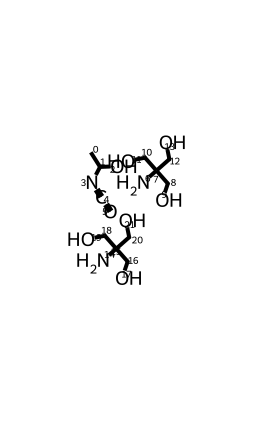 CC(O)N=C=O.NC(CO)(CO)CO.NC(CO)(CO)CO